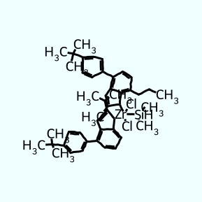 CCCc1ccc(-c2ccc(C(C)(C)C)cc2)c2c1[CH]([Zr]([Cl])([Cl])([CH]1C(C(C)C)=Cc3c(-c4ccc(C(C)(C)C)cc4)cccc31)[SiH](C)C)C(C)=C2